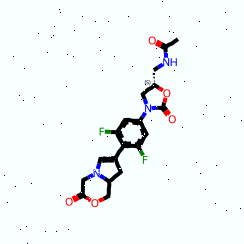 CC(=O)NC[C@H]1CN(c2cc(F)c(C3=CN4CC(=O)OCC4C3)c(F)c2)C(=O)O1